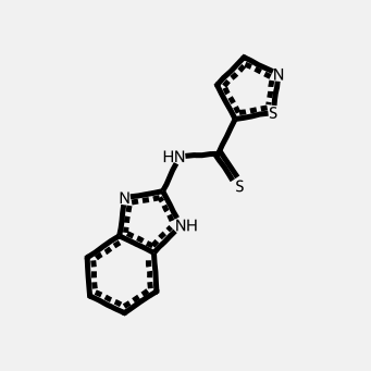 S=C(Nc1nc2ccccc2[nH]1)c1ccns1